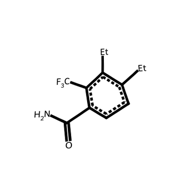 CCc1ccc(C(N)=O)c(C(F)(F)F)c1CC